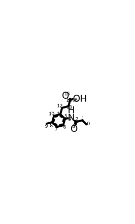 CCC(=O)Nc1ccc(C)cc1CCC(=O)O